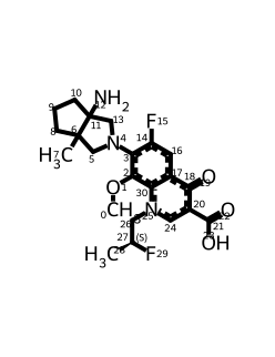 COc1c(N2CC3(C)CCCC3(N)C2)c(F)cc2c(=O)c(C(=O)O)cn(C[C@H](C)F)c12